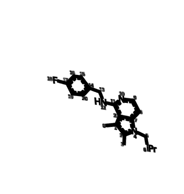 Cc1c(C)n(CC(C)C)c2ccnc(NCc3ccc(F)cc3)c12